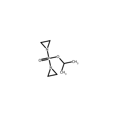 CC(C)OP(=O)(N1CC1)N1CC1